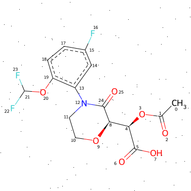 CC(=O)O[C@@H](C(=O)O)[C@H]1OCCN(c2cc(F)ccc2OC(F)F)C1=O